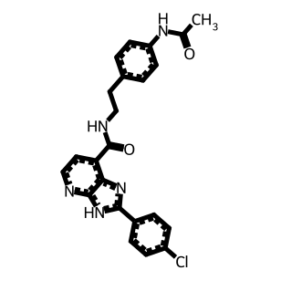 CC(=O)Nc1ccc(CCNC(=O)c2ccnc3[nH]c(-c4ccc(Cl)cc4)nc23)cc1